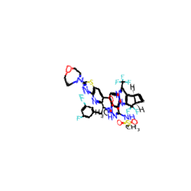 Cn1nc(NS(C)(=O)=O)c2cccc(-c3cc4sc(N5CCOCC5)nc4nc3[C@H](Cc3cc(F)cc(F)c3)NC(=O)Cn3nc(C(F)(F)F)c4c3C(F)(F)[C@@H]3C#C[C@H]43)c21